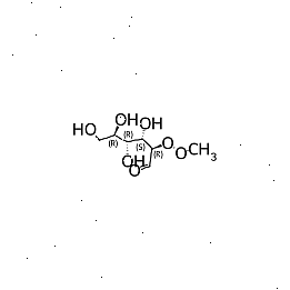 COO[C@@H](C=O)[C@@H](O)[C@H](O)[C@H](O)CO